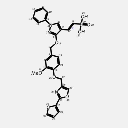 COc1cc(COc2nn(-c3ccccc3)cc2/C=C/P(=O)(O)O)ccc1OCc1coc(-c2ccco2)n1